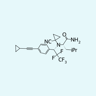 CC(C)C[C@@H](C(N)=O)N([C@@H](c1ccc(C#CC2CC2)cc1)C(F)(F)C(F)(F)F)C1(C#N)CC1